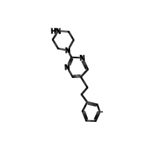 [c]1cccc(CCc2cnc(N3CCNCC3)nc2)c1